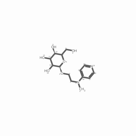 CN(CCO[C@@H]1OC(CO)[C@H](O)C(O)C1O)c1ccncc1